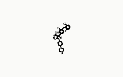 CN1CCN(C2CCC(n3nc(-c4ccc(Cc5c(F)cccc5Cl)c(Cl)c4)c4c(N)ncnc43)CC2)CC1